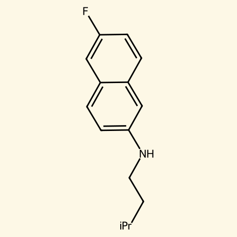 CC(C)CCNc1ccc2cc(F)ccc2c1